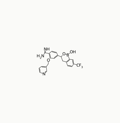 N=C(N)c1ccc(C2Cc3ccc(C(F)(F)F)cc3B(O)O2)cc1OCc1cccnc1